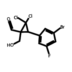 O=CC1(CO)C(c2cc(F)cc(Br)c2)C1(Cl)Cl